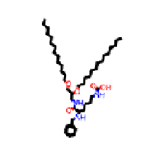 CCCCCCCCCCCCCCOCC(CNC(=O)C(CCCCNC(=O)O)NCc1ccccc1)OCCCCCCCCCCCCCC